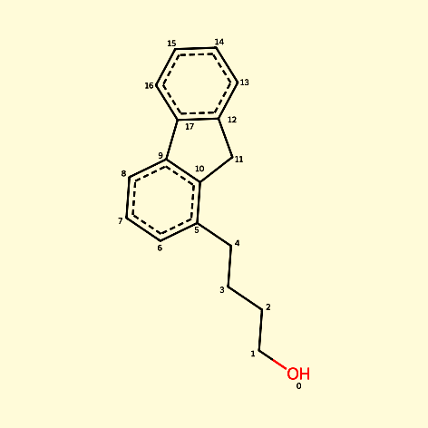 OCCCCc1cccc2c1Cc1ccccc1-2